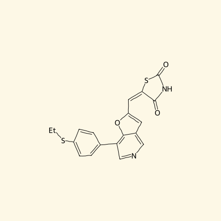 CCSc1ccc(-c2cncc3cc(C=C4SC(=O)NC4=O)oc23)cc1